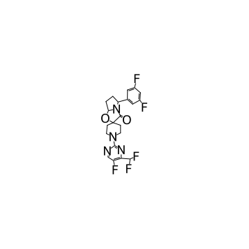 O=C1N2C(CCC2c2cc(F)cc(F)c2)OC12CCN(c1ncc(F)c(C(F)F)n1)CC2